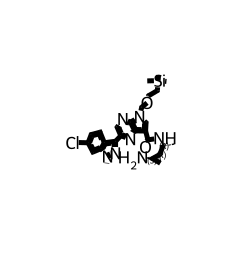 C[C@@H](NC(=O)c1cn(COCC[Si](C)(C)C)c2ncc(-c3nn(C)c4cc(Cl)ccc34)nc12)[C@@H]1C[C@@H]1N